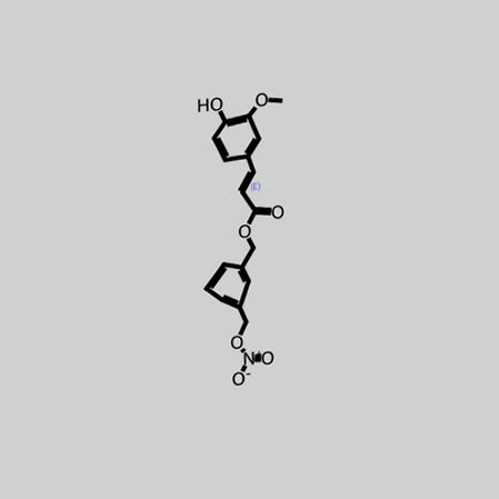 COc1cc(/C=C/C(=O)OCc2cccc(CO[N+](=O)[O-])c2)ccc1O